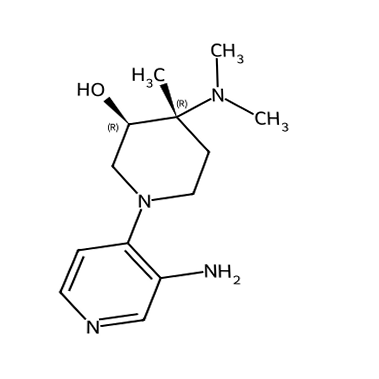 CN(C)[C@]1(C)CCN(c2ccncc2N)C[C@H]1O